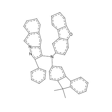 CC1(C)c2ccccc2-c2cc(N(c3ccc4oc5ccccc5c4c3)c3c(-c4ccccc4)nn4cc5ccccc5cc34)ccc21